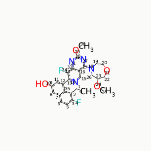 CCc1c(F)ccc2cc(O)cc(-c3ncc4c(N5CCOCC(OC)C5)nc(OC)nc4c3F)c12